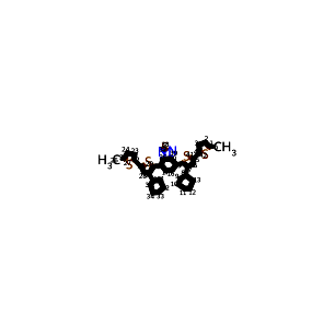 Cc1ccc(-c2cc(-c3ccccc3)c(-c3ccc(-c4sc(-c5ccc(C)s5)cc4-c4ccccc4)c4nsnc34)s2)s1